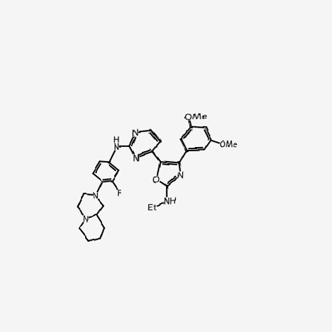 CCNc1nc(-c2cc(OC)cc(OC)c2)c(-c2ccnc(Nc3ccc(N4CCN5CCCCC5C4)c(F)c3)n2)o1